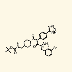 CC(C)(C)OC(=O)NC[C@H]1CC[C@H](C(=O)N(C(=O)[C@@H](N)Cc2cccc(Br)c2)c2ccc(-c3nnn[nH]3)cc2)CC1